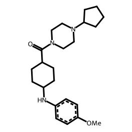 COc1ccc(NC2CCC(C(=O)N3CCN(C4CCCC4)CC3)CC2)cc1